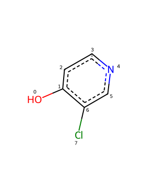 Oc1c[c]ncc1Cl